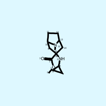 COC(=O)C1(NC2CC2)CC2CCC(C1)N2C